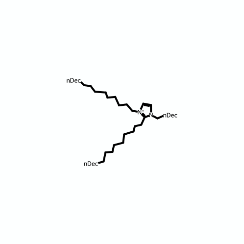 CCCCCCCCCCCCCCCCCCCc1n(CCCCCCCCCCC)cc[n+]1CCCCCCCCCCCCCCCCCCC